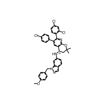 COc1ccc(Cn2ncc3ccc(N[C@@H]4CC(C)(C)Oc5nc(-c6ccc(Cl)cc6Cl)c(-c6ccc(Cl)cc6)cc54)cc32)cc1